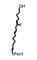 CCCCCC=CCCCCC=CCC(F)=CCCCCO